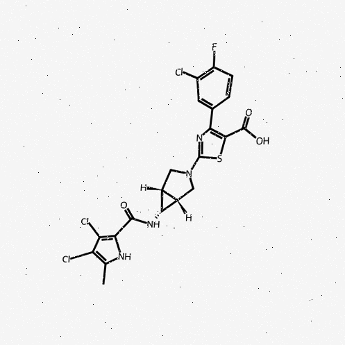 Cc1[nH]c(C(=O)N[C@@H]2[C@@H]3CN(c4nc(-c5ccc(F)c(Cl)c5)c(C(=O)O)s4)C[C@@H]32)c(Cl)c1Cl